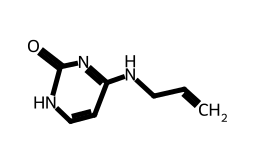 C=CCNc1cc[nH]c(=O)n1